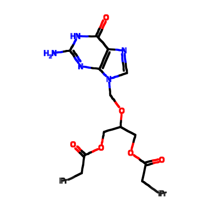 CC(C)CC(=O)OCC(COC(=O)CC(C)C)OCn1cnc2c(=O)[nH]c(N)nc21